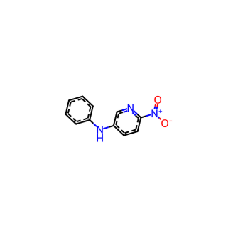 O=[N+]([O-])c1ccc(Nc2ccccc2)cn1